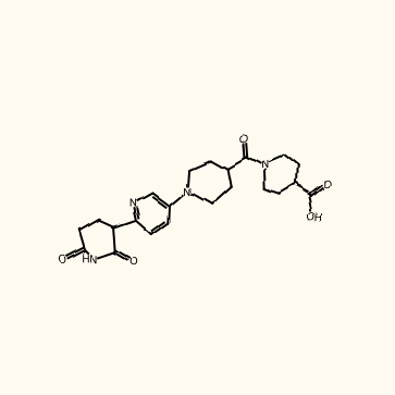 O=C1CCC(c2ccc(N3CCC(C(=O)N4CCC(C(=O)O)CC4)CC3)cn2)C(=O)N1